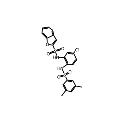 Cc1cc(C)cc(S(=O)(=O)Nc2ccc(Cl)cc2NS(=O)(=O)c2cc3ccccc3o2)c1